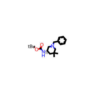 CC1(C)C[C@H](NC(=O)OC(C)(C)C)CN(Cc2ccccc2)C1